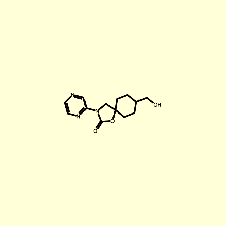 O=C1OC2(CCC(CO)CC2)CN1c1cnccn1